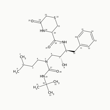 CC(C)CCN(C[C@@H](O)[C@H](Cc1ccccc1)NC(=O)C1CSCC(=O)N1)C(=O)NC(C)(C)C